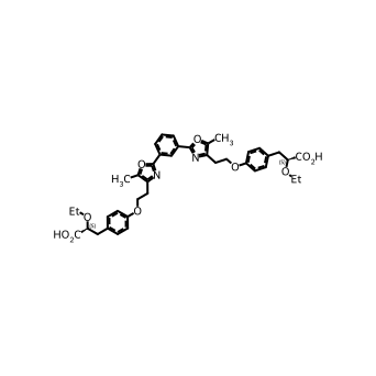 CCO[C@@H](Cc1ccc(OCCc2nc(-c3cccc(-c4nc(CCOc5ccc(C[C@H](OCC)C(=O)O)cc5)c(C)o4)c3)oc2C)cc1)C(=O)O